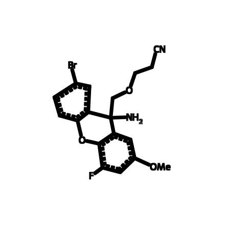 COc1cc(F)c2c(c1)C(N)(COCCC#N)c1cc(Br)ccc1O2